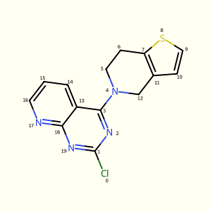 Clc1nc(N2CCc3sccc3C2)c2cccnc2n1